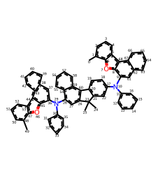 Cc1cccc2c1oc1c(N(c3ccccc3)c3ccc4c(c3)C(C)(C)c3cc(N(c5ccccc5)c5cc6ccccc6c6c5oc5c(C)cccc56)c5ccccc5c3-4)cc3ccccc3c12